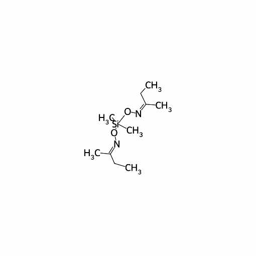 CCC(C)=NO[Si](C)(C)ON=C(C)CC